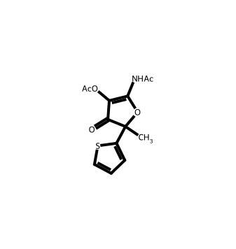 CC(=O)NC1=C(OC(C)=O)C(=O)C(C)(c2cccs2)O1